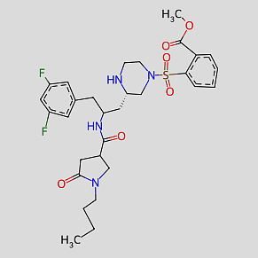 CCCCN1CC(C(=O)NC(Cc2cc(F)cc(F)c2)C[C@H]2CN(S(=O)(=O)c3ccccc3C(=O)OC)CCN2)CC1=O